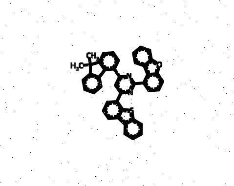 CC1(C)c2ccccc2-c2c(-c3cc(-c4cccc5c4sc4ccccc45)nc(-c4cccc5oc6ccccc6c45)n3)cccc21